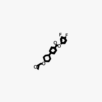 O=C(Oc1ccc(F)c(F)c1)c1ccc(C2CCC(OCC3CO3)CC2)cc1